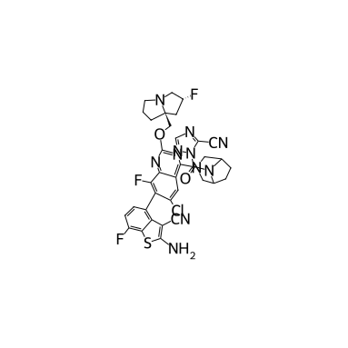 N#Cc1c(N)sc2c(F)ccc(-c3c(Cl)cc4c(N5CC6CCC(C5)N6C(=O)n5ncnc5C#N)nc(OC[C@@]56CCCN5C[C@H](F)C6)nc4c3F)c12